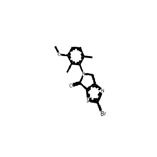 COc1ccc(C)c(N2Cc3nc(Br)sc3C2=O)c1C